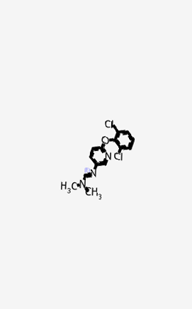 CN(C)/C=N/c1ccc(Oc2c(Cl)cccc2Cl)nc1